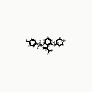 Cc1ccc(S(=O)(=O)n2cc(C(F)F)c3c(NC4CCNCC4)cccc32)cc1